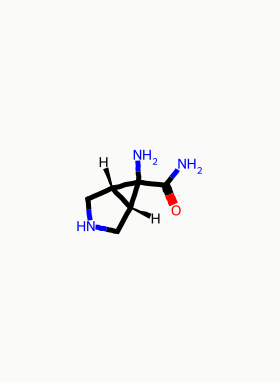 NC(=O)C1(N)[C@@H]2CNC[C@@H]21